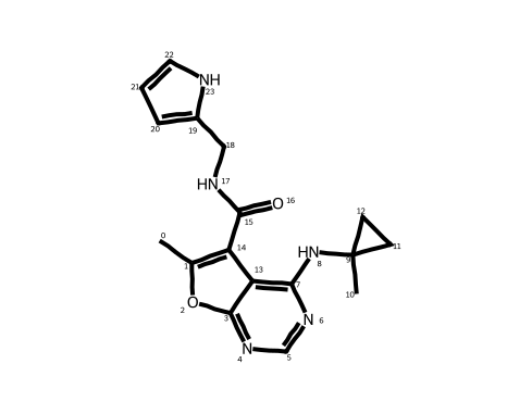 Cc1oc2ncnc(NC3(C)CC3)c2c1C(=O)NCc1ccc[nH]1